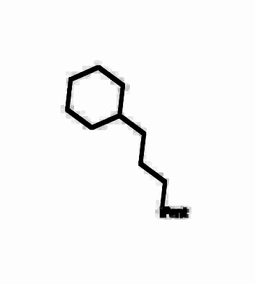 CCCC(C)CCCC1CCCCC1